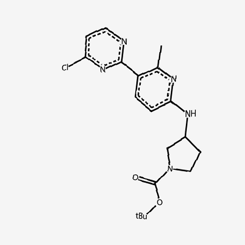 Cc1nc(NC2CCN(C(=O)OC(C)(C)C)C2)ccc1-c1nccc(Cl)n1